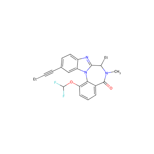 CCC#Cc1ccc2nc3n(c2c1)-c1c(OC(F)F)cccc1C(=O)N(C)C3CC